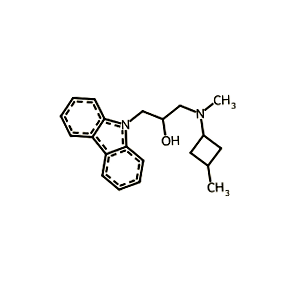 CC1CC(N(C)CC(O)Cn2c3ccccc3c3ccccc32)C1